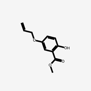 C=CCOc1ccc(O)c(C(=O)OC)c1